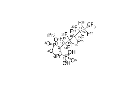 CC(C)OP(=O)(OC(C)C)C(CP(=O)(O)O)C(F)(F)C(F)(F)C(F)(F)C(F)(F)C(F)(F)C(F)(F)F